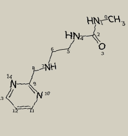 CNC(=O)NCCNCc1ncccn1